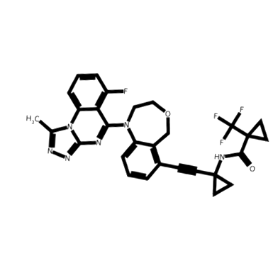 Cc1nnc2nc(N3CCOCc4c(C#CC5(NC(=O)C6(C(F)(F)F)CC6)CC5)cccc43)c3c(F)cccc3n12